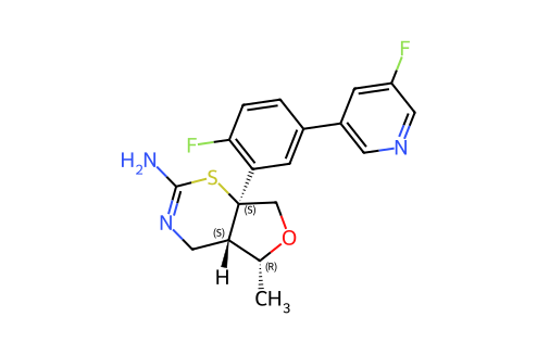 C[C@H]1OC[C@]2(c3cc(-c4cncc(F)c4)ccc3F)SC(N)=NC[C@@H]12